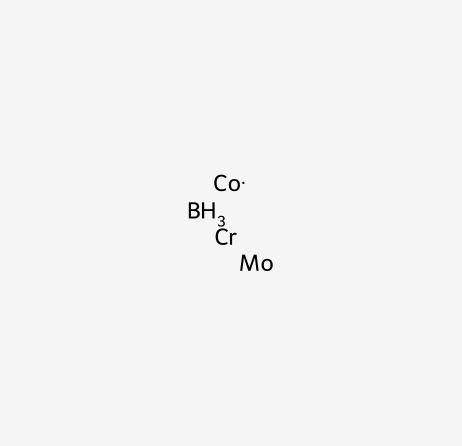 B.[Co].[Cr].[Mo]